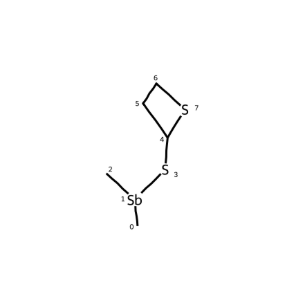 [CH3][Sb]([CH3])[S]C1CCS1